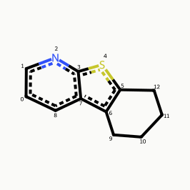 c1cnc2sc3c(c2c1)CCCC3